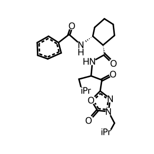 CC(C)CC(NC(=O)[C@H]1CCCC[C@H]1NC(=O)c1ccccc1)C(=O)c1nn(CC(C)C)c(=O)o1